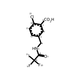 O=C(O)c1cc(CNC(=O)C(F)(F)I)ccc1Cl